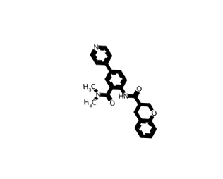 CN(C)C(=O)c1cc(-c2ccncc2)ccc1NC(=O)C1COc2ccccc2C1